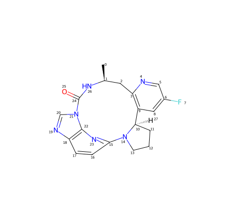 C[C@H]1Cc2ncc(F)cc2[C@H]2CCCN2c2ccc3ncn(c3n2)C(=O)N1